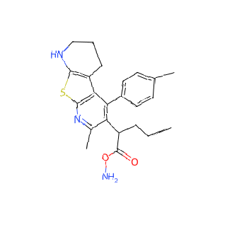 CCCC(C(=O)ON)c1c(C)nc2sc3c(c2c1-c1ccc(C)cc1)CCCN3